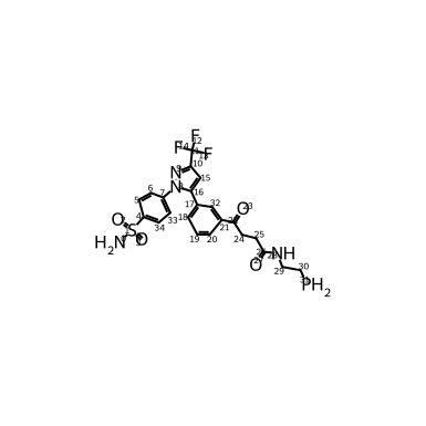 NS(=O)(=O)c1ccc(-n2nc(C(F)(F)F)cc2-c2cccc(C(=O)CCC(=O)NCCP)c2)cc1